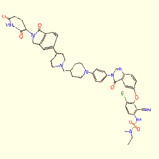 CCN(C)S(=O)(=O)Nc1ccc(F)c(Oc2ccc3ncn(-c4ccc(N5CCC(CN6CCC(c7ccc8c(c7)CN(C7CCC(=O)NC7=O)C8=O)CC6)CC5)cc4)c(=O)c3c2)c1C#N